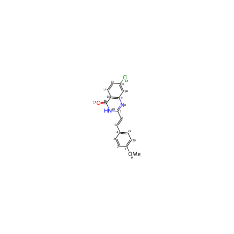 COc1ccc(C=Cc2nc3cc(Cl)ccc3c(=O)[nH]2)cc1